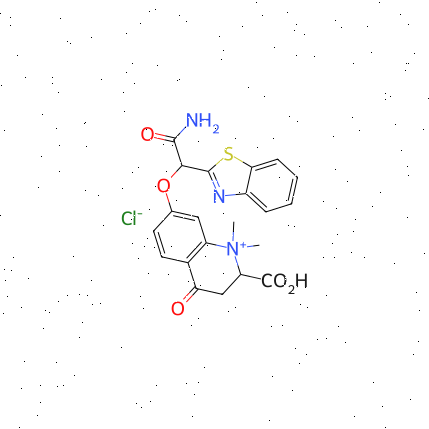 C[N+]1(C)c2cc(OC(C(N)=O)c3nc4ccccc4s3)ccc2C(=O)CC1C(=O)O.[Cl-]